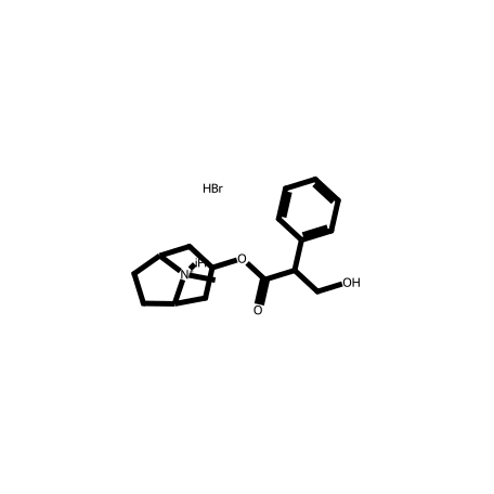 Br.CC(C)[N+]1(C)C2CCC1CC(OC(=O)C(CO)c1ccccc1)C2